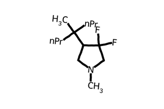 CCCC(C)(CCC)C1CN(C)CC1(F)F